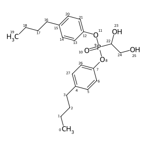 CCCCc1ccc(OP(=O)(Oc2ccc(CCCC)cc2)C(O)CO)cc1